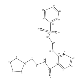 O=C(NCCC1CCCC1)c1cccnc1SCCS(=O)(=O)c1ccccc1